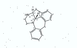 c1ccc2c(c1)Cc1cccc3c1[C@H]1[C@H](C3)NCCN21